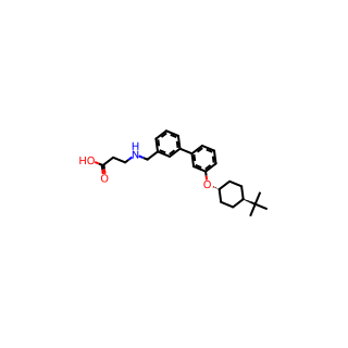 CC(C)(C)[C@H]1CC[C@H](Oc2cccc(-c3cccc(CNCCC(=O)O)c3)c2)CC1